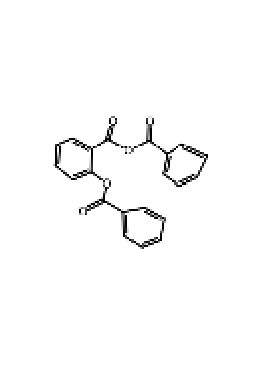 O=C(OC(=O)c1ccccc1OC(=O)c1ccccc1)c1ccccc1